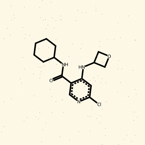 O=C(NC1CCCCC1)c1cnc(Cl)cc1NC1COC1